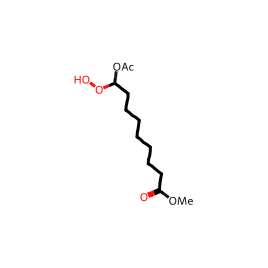 COC(=O)CCCCCCCC(OO)OC(C)=O